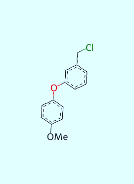 COc1ccc(Oc2cccc(CCl)c2)cc1